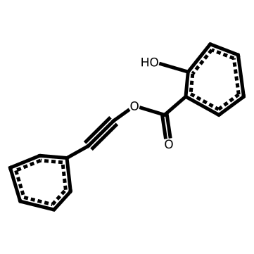 O=C(OC#Cc1ccccc1)c1ccccc1O